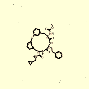 COC(=O)N[C@H]1Cc2cccc(c2)Oc2cccc(c2)C[C@@H](C(=O)NCC2CC2)NC(=O)[C@H](CCc2ccccc2)NC1=O